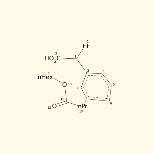 CCC(C(=O)O)c1ccccc1.CCCCCCOC(=O)CCC